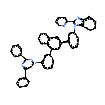 c1ccc(-c2cc(-c3cccc(-c4cc(-c5cccc(-n6c(-c7ccccn7)nc7ccccc76)c5)cc5ccccc45)c3)nc(-c3ccccc3)n2)cc1